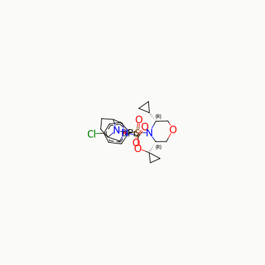 CCCN1C2CCC1CN(C(=O)OC1([C@H]3COC[C@@H](C4CC4)N3S(=O)(=O)c3ccc(Cl)cc3)CC1)C2